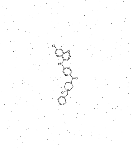 O=C(c1ccc(Nc2ccnc3cc(Cl)ccc23)cc1)N1CC[N+]([O-])(Cc2ccccc2)CC1